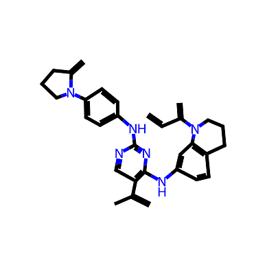 C=CC(=C)N1CCCc2ccc(Nc3nc(Nc4ccc(N5CCCC5=C)cc4)ncc3C(=C)C)cc21